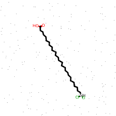 O=C(O)CCCCCCCCCCCCCCCCCCCCCCCCCC[SiH](Cl)Cl